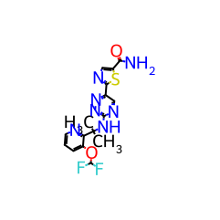 CC(C)(Nc1ncc(-c2ncc(C(N)=O)s2)nn1)c1ncccc1OC(F)F